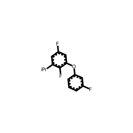 CC(C)c1cc(F)cc(Oc2cccc(F)c2)c1F